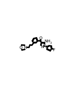 Nc1c(C(=O)c2cccc(CCCN3CCOCC3)c2)cnn1-c1ccc(F)cc1